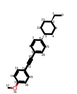 CC[C@H]1CC[C@H](c2ccc(C#Cc3ccc(OC)cc3)cc2)CC1